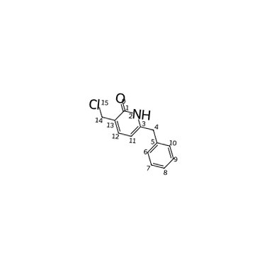 O=c1[nH]c(Cc2ccccc2)ccc1CCl